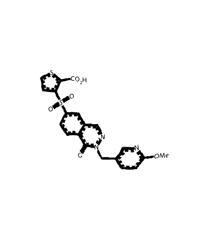 COc1ccc(Cn2ncc3cc(S(=O)(=O)c4ccsc4C(=O)O)ccc3c2=O)cn1